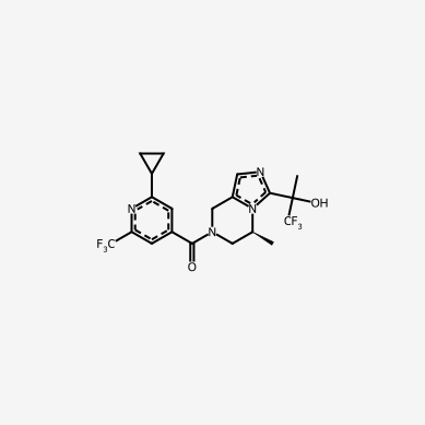 C[C@H]1CN(C(=O)c2cc(C3CC3)nc(C(F)(F)F)c2)Cc2cnc(C(C)(O)C(F)(F)F)n21